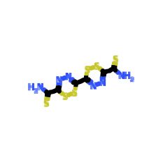 NC(=S)C1=NN=C(C2=NN=C(C(N)=S)SS2)SS1